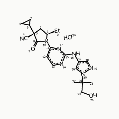 CC[C@@H]1C[C@@](C#N)(C2CC2)C(=O)N1c1ccnc(Nc2cnn(C(C)(C)CO)c2)n1.Cl